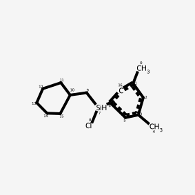 Cc1cc(C)cc([SiH](Cl)CC2CCCCC2)c1